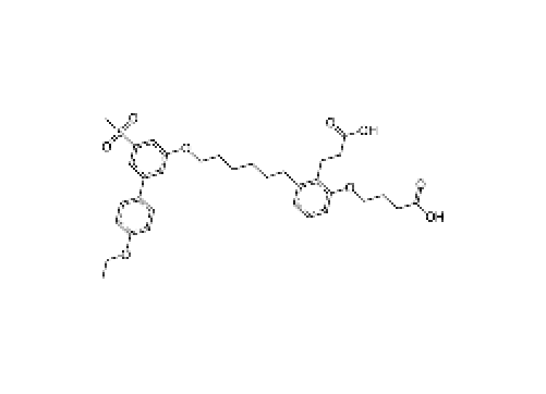 CCOc1ccc(-c2cc(OCCCCCCc3cccc(OCCCC(=O)O)c3CCC(=O)O)cc(S(C)(=O)=O)c2)cc1